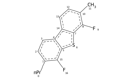 CCCc1ccc2c(sc3c(F)c(C)ccc32)c1F